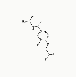 CC(N[S+]([O-])C(C)(C)C)c1ccc(OCC(F)F)c(F)c1